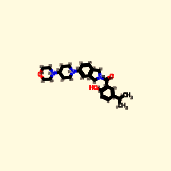 CC(C)c1ccc(O)c(C(=O)N2Cc3ccc(N4CCC(N5CCOCC5)CC4)cc3C2)c1